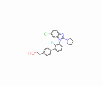 OCCc1ccc(-c2cccc(-n3c(N4CCCC4)nc4ccc(Cl)cc43)c2F)cc1